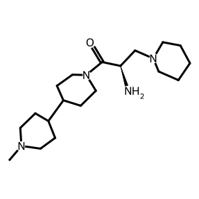 CN1CCC(C2CCN(C(=O)[C@H](N)CN3CCCCC3)CC2)CC1